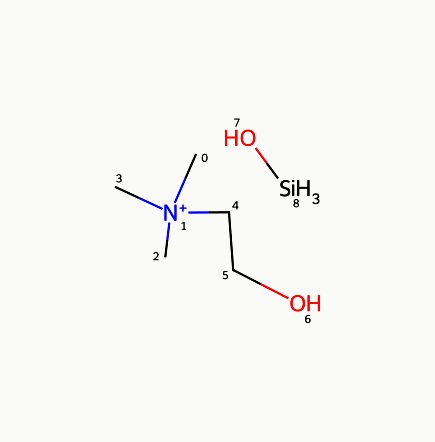 C[N+](C)(C)CCO.O[SiH3]